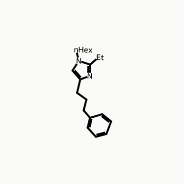 CCCCCCn1cc(CCCc2ccccc2)nc1CC